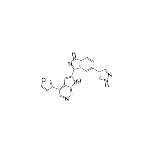 c1cc(-c2cncc3[nH]c(-c4n[nH]c5ccc(-c6cn[nH]c6)cc45)cc23)co1